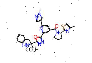 Cc1csc([C@H]2CCCN2C(=O)c2cc(-c3cnn(C)c3)nc(-c3nnc([C@@](C)(Cc4ccccc4)NC(=O)O)o3)c2)n1